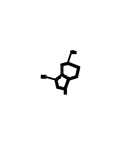 CC(C)(C)c1ccc2[nH]cc(C#N)c2c1